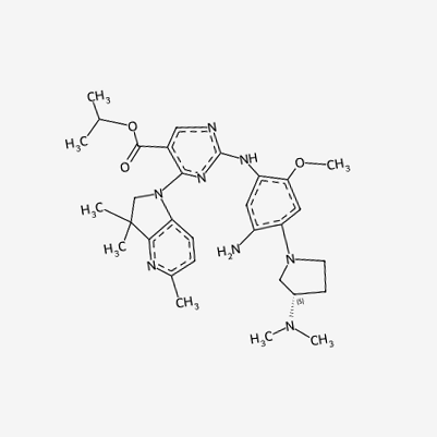 COc1cc(N2CC[C@H](N(C)C)C2)c(N)cc1Nc1ncc(C(=O)OC(C)C)c(N2CC(C)(C)c3nc(C)ccc32)n1